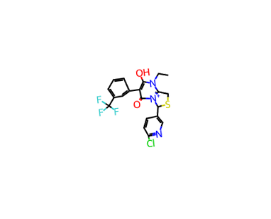 CCn1c(O)c(-c2cccc(C(F)(F)F)c2)c(=O)[n+]2c1CSC2c1ccc(Cl)nc1